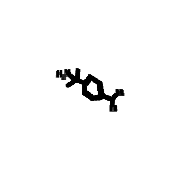 CCC(CC)c1ccc(C(C)(C)N)cc1